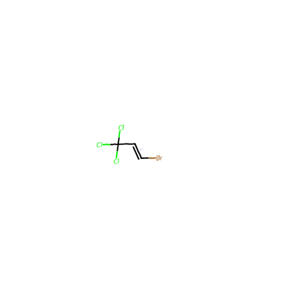 ClC(Cl)(Cl)/C=[C]/Br